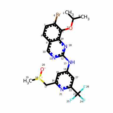 CC(C)Oc1c(Br)ccc2cnc(Nc3cc(C[S+](C)[O-])nc(C(F)(F)F)c3)nc12